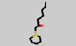 CCCCCC(=O)C[S+]1CCCCC1